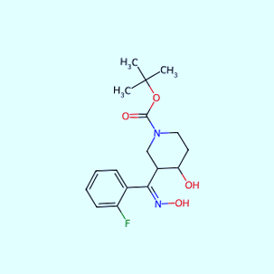 CC(C)(C)OC(=O)N1CCC(O)C(/C(=N\O)c2ccccc2F)C1